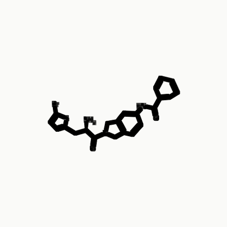 N[C@H](Cc1ccc(Br)s1)C(=O)N1Cc2ccc(NC(=O)c3ccccc3)cc2C1